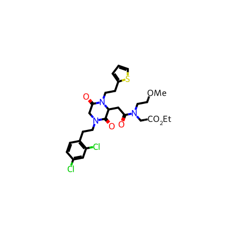 CCOC(=O)CN(CCOC)C(=O)CC1C(=O)N(CCc2ccc(Cl)cc2Cl)CC(=O)N1CCc1cccs1